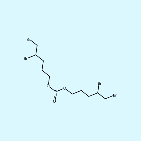 O=[PH](OCCCC(Br)CBr)OCCCC(Br)CBr